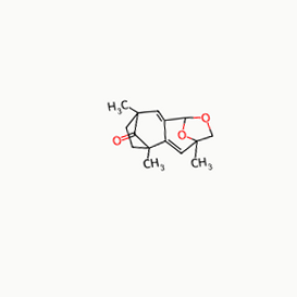 CC12C=C3C(=CC4(C)CCC3(C)C4=O)C(OC1)O2